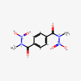 CN(C(=O)c1ccc(C(=O)N(C)[N+](=O)[O-])cc1)[N+](=O)[O-]